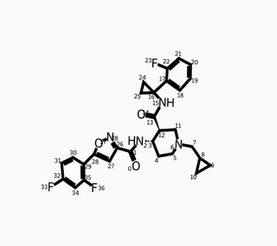 O=C(N[C@H]1CCN(CC2CC2)C[C@@H]1C(=O)NC1(c2ccccc2F)CC1)c1cc(-c2ccc(F)cc2F)on1